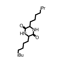 CCC(C)CCCCC1NC(=O)C(CCCCC(C)C)NC1=O